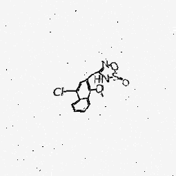 COc1c(CC2=NOS(=O)N2)cc(Cl)c2ccccc12